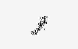 CCC(CC(C)C(=O)Oc1ccc(C(=O)c2ccccc2)cc1)C(=O)OCCOP(=O)(O)OCCN(C)C